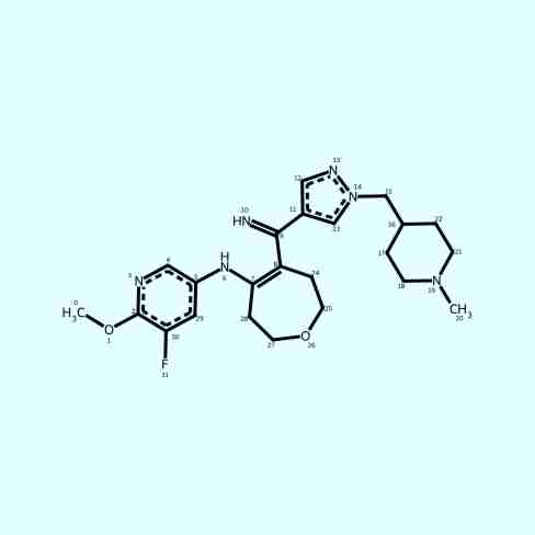 COc1ncc(NC2=C(C(=N)c3cnn(CC4CCN(C)CC4)c3)CCOCC2)cc1F